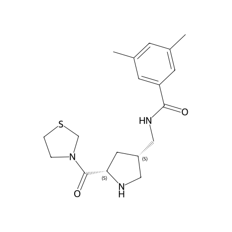 Cc1cc(C)cc(C(=O)NC[C@@H]2CN[C@H](C(=O)N3CCSC3)C2)c1